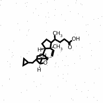 CC(CCC(=O)O)C1CC[C@H]2C3CC[C@@H]4O[C@@]3(C=C[C@]12C)[C@@]4(C)CCC1CC1